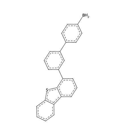 Bc1ccc(-c2cccc(-c3cccc4c3sc3ccccc34)c2)cc1